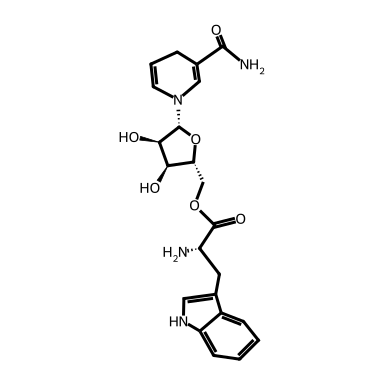 NC(=O)C1=CN([C@@H]2O[C@H](COC(=O)[C@@H](N)Cc3c[nH]c4ccccc34)[C@@H](O)[C@H]2O)C=CC1